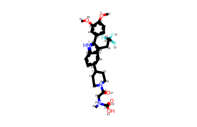 COc1ccc(-c2[nH]c3ccc(C4CCN(C(=O)CN(C)C(=O)O)CC4)cc3c2CC(F)(F)F)cc1OC